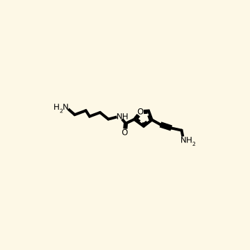 NCC#Cc1coc(C(=O)NCCCCCN)c1